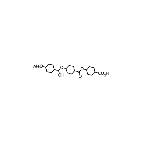 COC1CCC(C(O)OC2CCC(C(=O)OC3CCC(C(=O)O)CC3)CC2)CC1